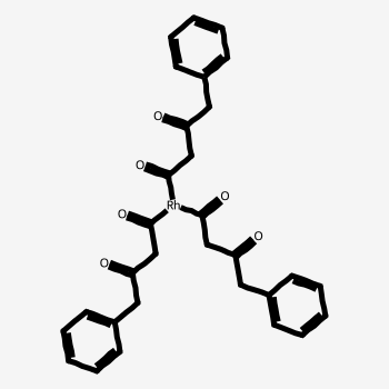 O=C(C[C](=O)[Rh]([C](=O)CC(=O)Cc1ccccc1)[C](=O)CC(=O)Cc1ccccc1)Cc1ccccc1